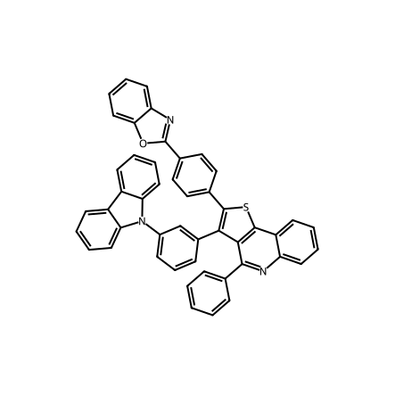 c1ccc(-c2nc3ccccc3c3sc(-c4ccc(-c5nc6ccccc6o5)cc4)c(-c4cccc(-n5c6ccccc6c6ccccc65)c4)c23)cc1